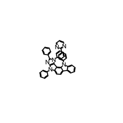 c1ccc(-c2nc3c(c4c(ccc5c6ccccc6n(-c6ccc(-c7ncccn7)cc6)c54)n3-c3ccccc3)n2-c2ccccc2)cc1